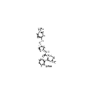 COc1cccc(F)c1-c1cc(C)ncc1C(=O)Nc1nnc(OCc2ccc(SC)cn2)s1